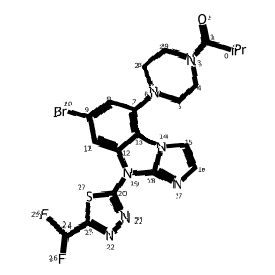 CC(C)C(=O)N1CCN(c2cc(Br)cc3c2n2ccnc2n3-c2nnc(C(F)F)s2)CC1